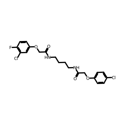 O=C(COc1ccc(Cl)cc1)NCCCCNC(=O)COc1ccc(F)c(Cl)c1